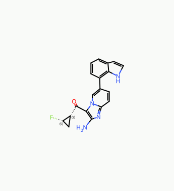 Nc1nc2ccc(-c3cccc4cc[nH]c34)cn2c1C(=O)[C@@H]1C[C@@H]1F